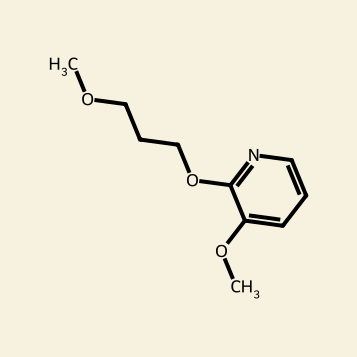 COCCCOc1ncccc1OC